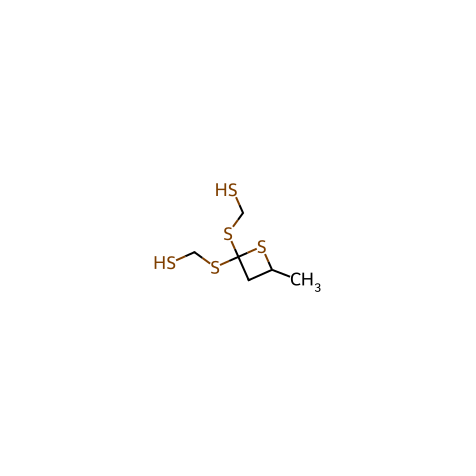 CC1CC(SCS)(SCS)S1